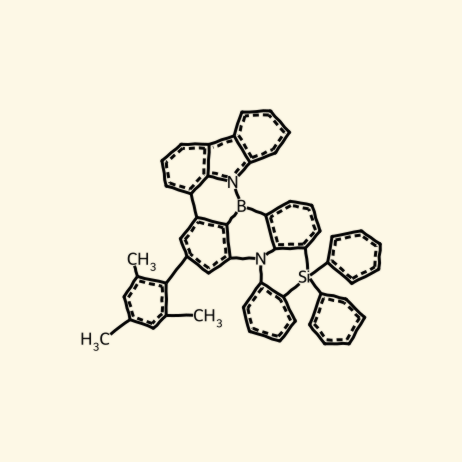 Cc1cc(C)c(-c2cc3c4c(c2)N2c5ccccc5[Si](c5ccccc5)(c5ccccc5)c5cccc(c52)B4n2c4ccccc4c4cccc-3c42)c(C)c1